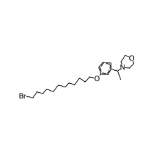 CC(c1cccc(OCCCCCCCCCCCCBr)c1)N1CCOCC1